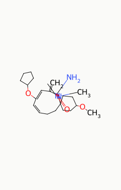 C=C1/C=C(OC2CCCC2)\C=C/CCC2(CCC(OC)CC2)C12N=C(N)N(C)C2=O